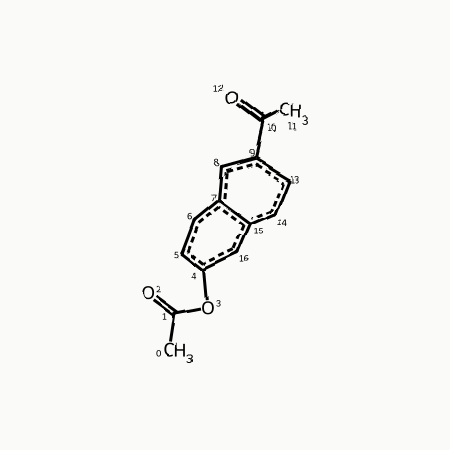 CC(=O)Oc1ccc2cc(C(C)=O)ccc2c1